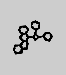 C1=C(c2c3ccccc3cc3c2ccc2ccccc23)N(c2ccccc2)C1c1ccccc1